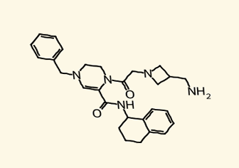 NCC1CN(CC(=O)N2CCN(Cc3ccccc3)C=C2C(=O)NC2CCCc3ccccc32)C1